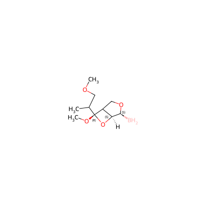 B[C@@H]1OCC2[C@@H]1O[C@]2(OC)C(C)COC